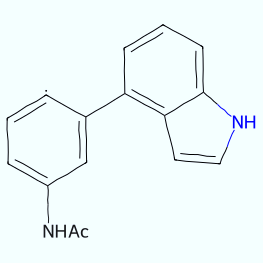 CC(=O)Nc1cc[c]c(-c2cccc3[nH]ccc23)c1